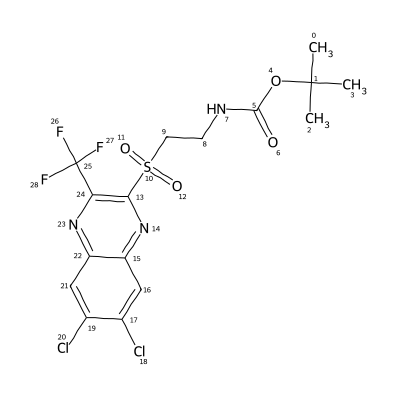 CC(C)(C)OC(=O)NCCS(=O)(=O)c1nc2cc(Cl)c(Cl)cc2nc1C(F)(F)F